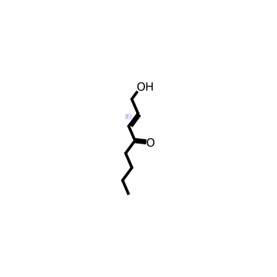 CCCCC(=O)/C=C/CO